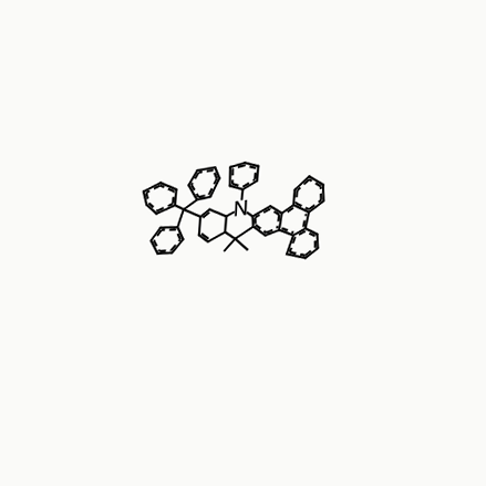 CC1(C)c2cc3c4ccccc4c4ccccc4c3cc2N(c2ccccc2)C2C=C(C(c3ccccc3)(c3ccccc3)c3ccccc3)C=CC21